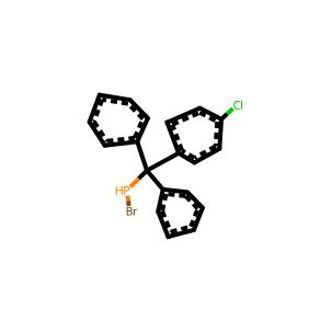 Clc1ccc(C(PBr)(c2ccccc2)c2ccccc2)cc1